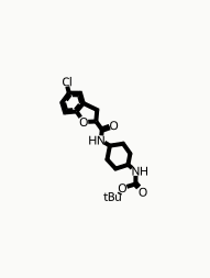 CC(C)(C)OC(=O)NC1CCC(NC(=O)C2Cc3cc(Cl)ccc3O2)CC1